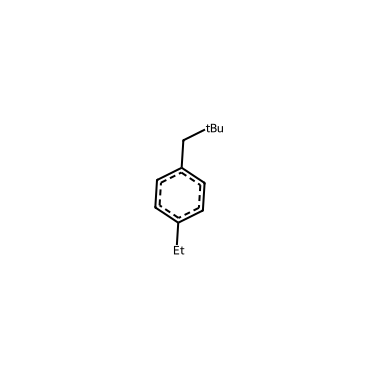 CCc1ccc(CC(C)(C)C)cc1